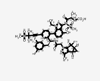 C[C@H](NC(=O)O)C(=O)N(c1nn(CC(F)(F)F)c2c(-c3ccc(C#CC(C)(C)S(C)(=O)=O)nc3[C@H](Cc3cc(F)cc(F)c3)NC(=O)Cn3nc(C(F)(F)F)c4c3C(F)(F)[C@@H]3C[C@H]43)ccc(Cl)c12)S(C)(=O)=O